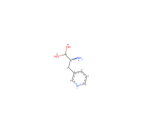 N[C@@H](Cc1cccnc1)C(O)O